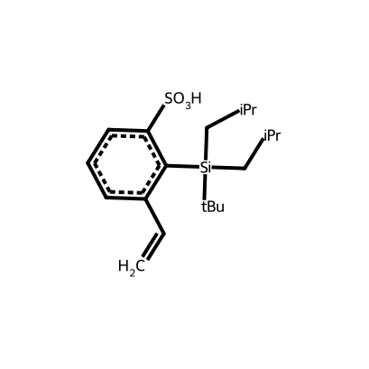 C=Cc1cccc(S(=O)(=O)O)c1[Si](CC(C)C)(CC(C)C)C(C)(C)C